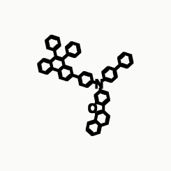 c1ccc(-c2ccc(N(c3ccc(-c4ccc5c(c4)c(-c4ccccc4)c(-c4ccccc4)c4ccccc45)cc3)c3ccc4c(c3)oc3c5ccccc5ccc43)cc2)cc1